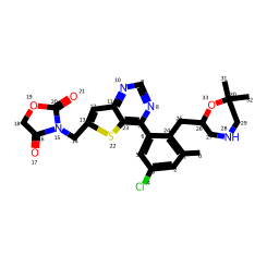 Cc1cc(Cl)cc(-c2ncnc3cc(CN4C(=O)COC4=O)sc23)c1CC1CNCC(C)(C)O1